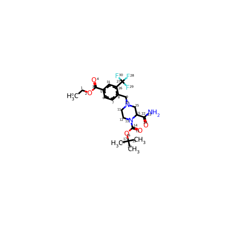 CCOC(=O)c1ccc(CN2CCN(C(=O)OC(C)(C)C)C(C(N)=O)C2)c(C(F)(F)F)c1